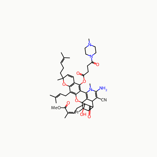 COC(=O)/C(C)=C\CC1(O)C(=O)C2CC(C(C)C)C13Oc1c(CC=C(C)C)c4c(c(OC(=O)CCC(=O)N5CCN(C)CC5)c1C1=C3C2C(C#N)=C(N)N1C)C=CC(C)(CCC=C(C)C)O4